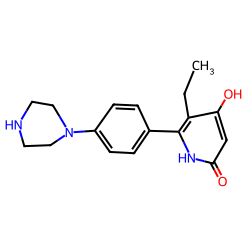 CCc1c(O)cc(=O)[nH]c1-c1ccc(N2CCNCC2)cc1